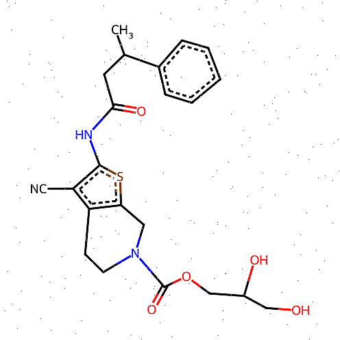 CC(CC(=O)Nc1sc2c(c1C#N)CCN(C(=O)OCC(O)CO)C2)c1ccccc1